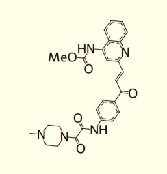 COC(=O)Nc1cc(/C=C/C(=O)c2ccc(NC(=O)C(=O)N3CCN(C)CC3)cc2)nc2ccccc12